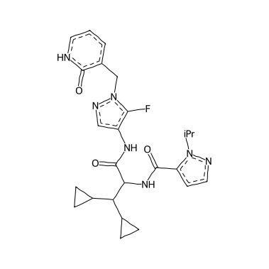 CC(C)n1nccc1C(=O)NC(C(=O)Nc1cnn(Cc2ccc[nH]c2=O)c1F)C(C1CC1)C1CC1